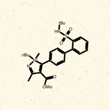 CCCC[N+]1(C)N=C(C)C(C(=O)OC)=C1c1ccc(-c2ccccc2S(=O)(=O)NC(C)(C)C)cc1